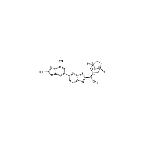 Cc1cn2cc(-c3ccc4nc(N(C)[C@@H]5C[C@H]6CC[C@@H](C5)N6)sc4n3)cc(C#N)c2n1